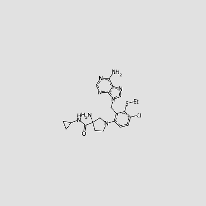 CCSc1c(Cl)ccc(N2CCC(N)(C(=O)NC3CC3)C2)c1Cn1cnc2c(N)ncnc21